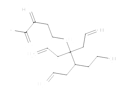 C=CCC(CCC)C(CC=C)(CC=C)[SiH2]CCC(=C)C(=O)O